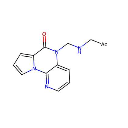 CC(=O)CNCn1c(=O)c2cccn2c2ncccc21